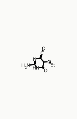 CCOC1C(=O)NC(N)=NC1=C=O